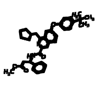 COC(=O)CC(NC(=O)c1cc2ccc(Oc3ccc(C(C)(C)C)cc3)cc2c(CC2CCCC2)n1)c1ccccc1